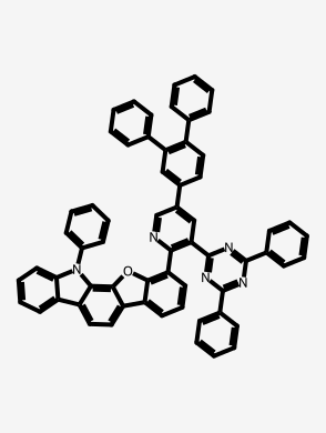 c1ccc(-c2nc(-c3ccccc3)nc(-c3cc(-c4ccc(-c5ccccc5)c(-c5ccccc5)c4)cnc3-c3cccc4c3oc3c4ccc4c5ccccc5n(-c5ccccc5)c43)n2)cc1